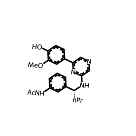 CCC[C@@H](Nc1cncc(-c2ccc(O)c(OC)c2)n1)c1cccc(NC(C)=O)c1